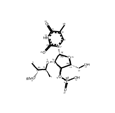 CO[C@H](C)[C@H](C)O[C@H]1C(O[PH](=O)O)[C@@H](CO)O[C@H]1n1cc(C)c(=O)[nH]c1=O